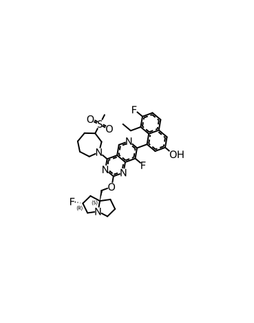 CCc1c(F)ccc2cc(O)cc(-c3ncc4c(N5CCCCC(S(C)(=O)=O)C5)nc(OC[C@@]56CCCN5C[C@H](F)C6)nc4c3F)c12